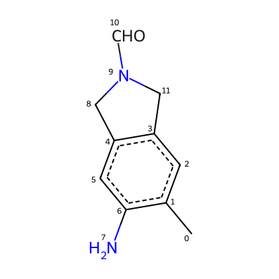 Cc1cc2c(cc1N)CN(C=O)C2